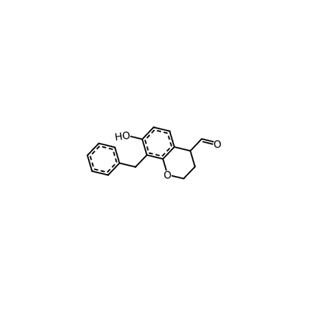 O=CC1CCOc2c1ccc(O)c2Cc1ccccc1